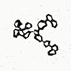 c1ccc(C2(c3ccccc3)c3ccccc3-c3ccc(-n4cc(-c5ccc(-c6cccc7ccccc67)cc5)c5cc(-c6ccc(-c7cccc8ccccc78)cc6)ccc54)cc32)cc1